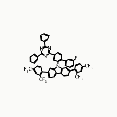 Fc1cccc(-c2ccc(-c3nc(-c4ccccc4)nc(-c4ccccc4)n3)cc2-n2c3cc(-c4ccc(C(F)(F)F)cc4C(F)(F)F)ccc3c3ccc(-c4ccc(C(F)(F)F)cc4C(F)(F)F)cc32)c1